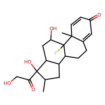 CC1CC2C(CC(O)C3(F)C2CCC2=CC(=O)C=CC23C)C1(O)C(=O)CO